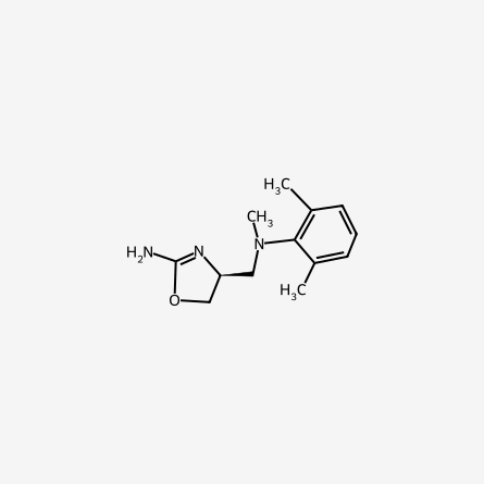 Cc1cccc(C)c1N(C)C[C@H]1COC(N)=N1